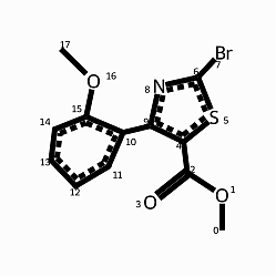 COC(=O)c1sc(Br)nc1-c1ccccc1OC